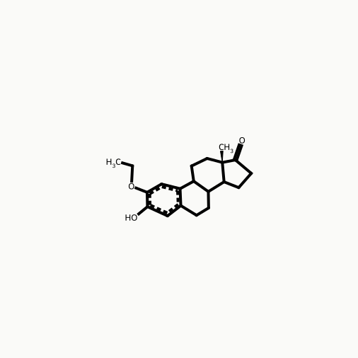 CCOc1cc2c(cc1O)CCC1C2CC[C@]2(C)C(=O)CCC12